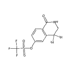 [2H]C1([2H])CNC(=O)c2ccc(OS(=O)(=O)C(F)(F)F)cc21